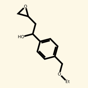 CCOCc1ccc(C(O)CC2CO2)cc1